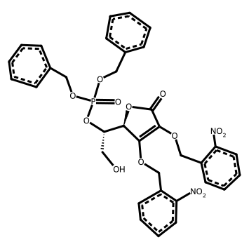 O=C1O[C@H]([C@H](CO)OP(=O)(OCc2ccccc2)OCc2ccccc2)C(OCc2ccccc2[N+](=O)[O-])=C1OCc1ccccc1[N+](=O)[O-]